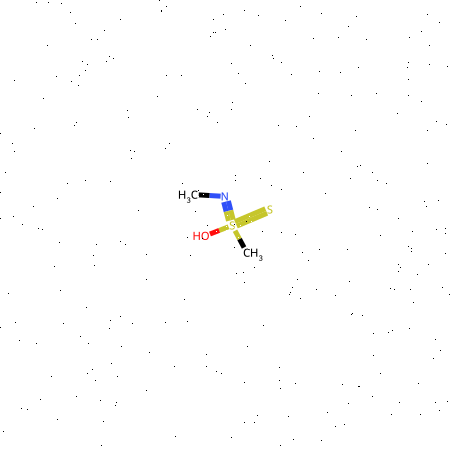 CN=S(C)(O)=S